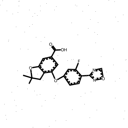 CC1(C)Cc2c(Oc3ccc(-c4ncon4)c(F)c3)cc(C(=O)O)cc2O1